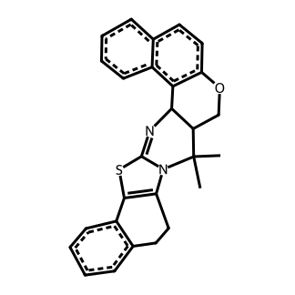 CC1(C)C2COc3ccc4ccccc4c3C2N=C2SC3=C(CCc4ccccc43)N21